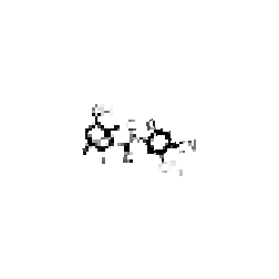 C[C@H]1[C@@H](C(=O)N(C=O)c2ccc(C#N)c(C(F)(F)F)c2)C2(C)OC1(C)C[C@H]2O